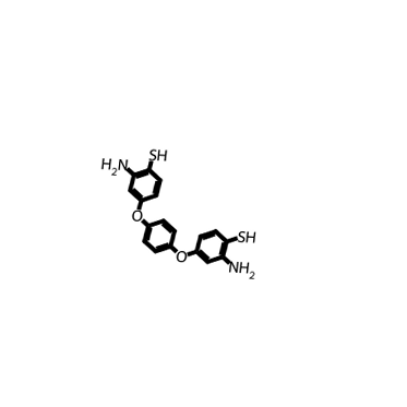 Nc1cc(Oc2ccc(Oc3ccc(S)c(N)c3)cc2)ccc1S